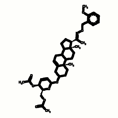 COc1ccccc1CO/N=C(\C)[C@H]1CCC2C3CC=C4CC(OC5C=C[C@H](OC(C)=O)[C@@H](COC(C)=O)O5)CC[C@]4(C)C3CC[C@@]21C